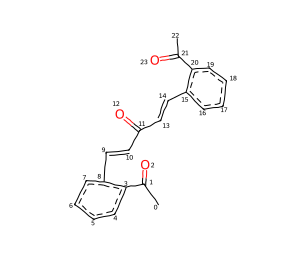 CC(=O)c1ccccc1C=CC(=O)C=Cc1ccccc1C(C)=O